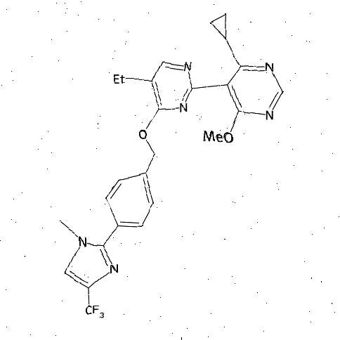 CCc1cnc(-c2c(OC)ncnc2C2CC2)nc1OCc1ccc(-c2nc(C(F)(F)F)cn2C)cc1